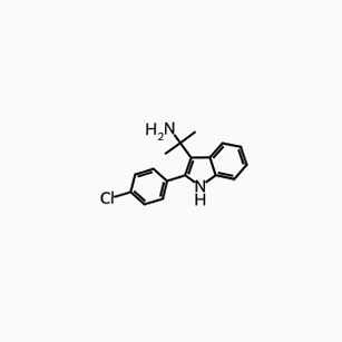 CC(C)(N)c1c(-c2ccc(Cl)cc2)[nH]c2ccccc12